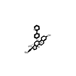 CC(C)(C)C#C[C@]1(O)CC[C@H]2[C@@H]3CCC4=CC(O)CCC4=C3[C@@H](c3ccc(-c4ccccn4)cc3)C[C@@]21C